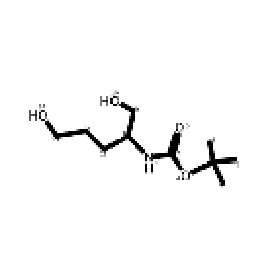 CC(C)(C)OC(=O)NC(CO)CCCO